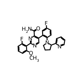 COc1cccc(F)c1-c1ncc(-c2cc(F)ccc2N2CCCC2c2ccccn2)c(C(N)=O)n1